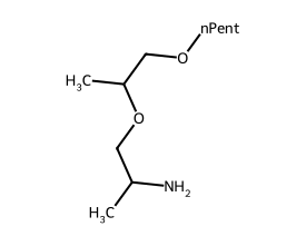 CCCCCOCC(C)OCC(C)N